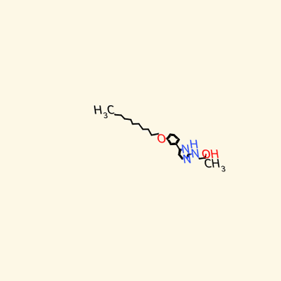 CCCCCCCCCCCOc1cccc(-c2ccnc(NCC(C)O)n2)c1